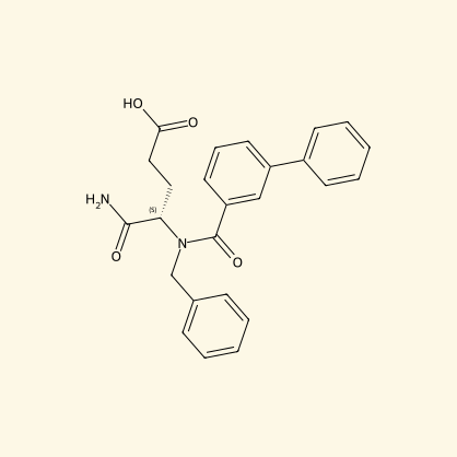 NC(=O)[C@H](CCC(=O)O)N(Cc1ccccc1)C(=O)c1cccc(-c2ccccc2)c1